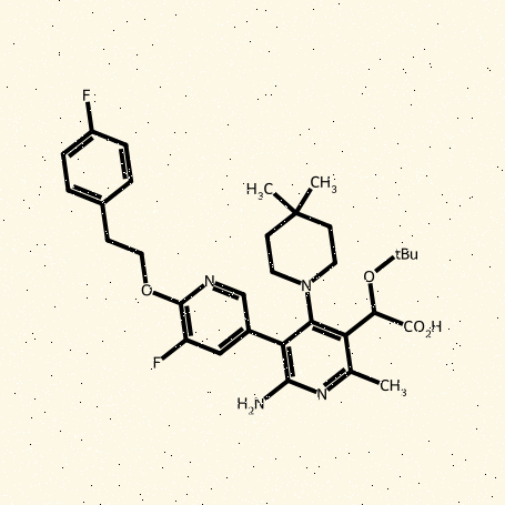 Cc1nc(N)c(-c2cnc(OCCc3ccc(F)cc3)c(F)c2)c(N2CCC(C)(C)CC2)c1C(OC(C)(C)C)C(=O)O